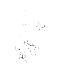 CC(C)(C)N(C(=O)/C=C/c1cccc(OCc2ccccc2)c1C#C[Si](C)(C)C)[C@@](CC(=O)O)(C(=O)O)C(C)(C)C